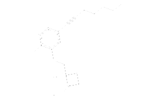 Cc1ncc(C#CCCCCF)cc1OC[C@@]1(C(C)(C)C)CCN1C(=O)O